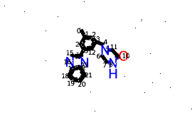 Cc1cc(CN2CCNC(=O)C2)cc(-c2cnc3ccccc3n2)c1